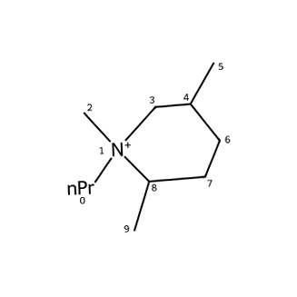 CCC[N+]1(C)CC(C)CCC1C